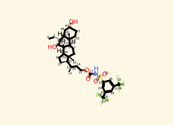 CC[C@H]1[C@@H](O)[C@@H]2[C@H](CC[C@]3(C)[C@@H]([C@H](C)CCOC(=O)NS(=O)(=O)c4cc(C(F)(F)F)cc(C(F)(F)F)c4)CC[C@@H]23)[C@@]2(C)CC[C@@H](O)C[C@@H]12